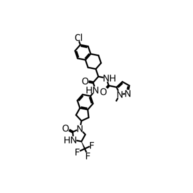 Cn1nccc1C(=O)NC(C(=O)Nc1ccc2c(c1)CC(N1C[C@@H](C(F)(F)F)NC1=O)C2)C1CCc2cc(Cl)ccc2C1